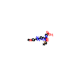 CC(C)(C)COc1ccc(-c2cnc(-c3ccc(C[C@H](NC(=O)c4ccc(C(C)(C)C)s4)C(=O)N4CC[C@H](C(=O)O)C4)cc3)nc2)cc1